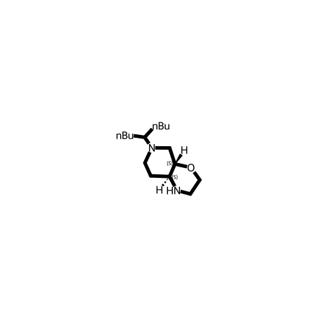 CCCCC(CCCC)N1CC[C@@H]2NCCO[C@H]2C1